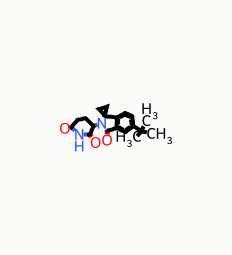 CC(C)(C)c1ccc2c(c1)C(=O)N(C1CCC(=O)NC1=O)C21CC1